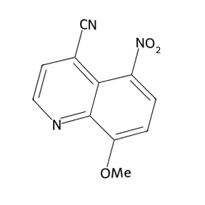 COc1ccc([N+](=O)[O-])c2c(C#N)ccnc12